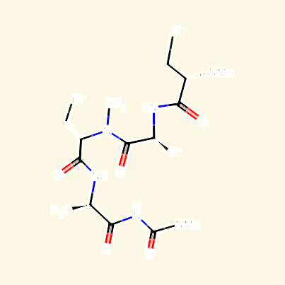 CNC(=O)NC(=O)[C@@H](C)NC(=O)[C@H](CC(C)C)N(C)C(=O)[C@@H](NC(=O)[C@H](CC(C)C)NC)C(C)C